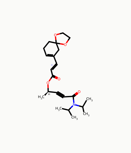 CC(C)N(C(=O)C#C[C@@H](C)OC(=O)/C=C/C1=CCCC2(C1)OCCO2)C(C)C